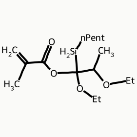 C=C(C)C(=O)OC(OCC)([SiH2]CCCCC)C(C)OCC